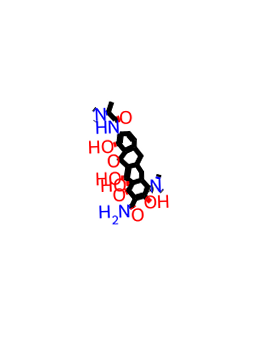 CC(C(=O)Nc1ccc2c(c1O)C(=O)C1=C(O)C3(O)C(=O)C(C(N)=O)=C(O)[C@@H](N(C)C)C3CC1C2)N(C)C